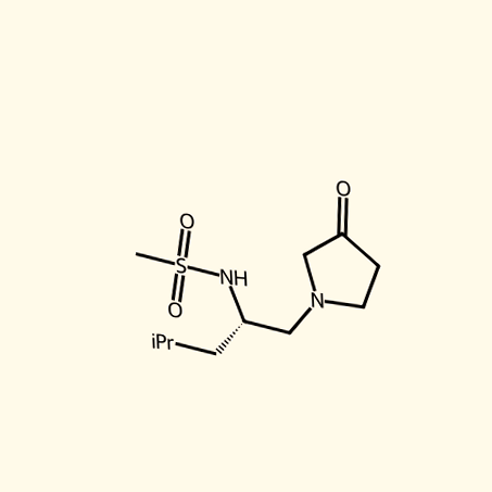 CC(C)C[C@@H](CN1CCC(=O)C1)NS(C)(=O)=O